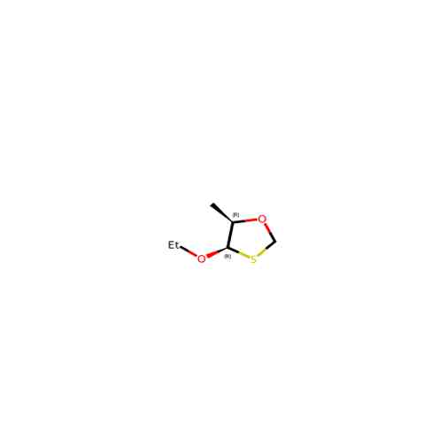 CCO[C@@H]1SCO[C@@H]1C